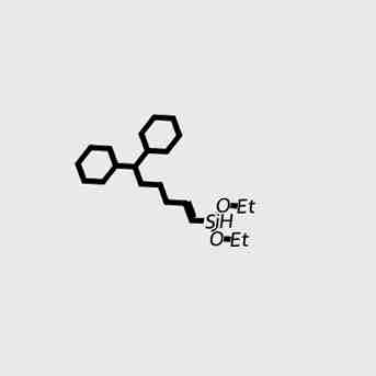 CCO[SiH](C=CCCCC(C1CCCCC1)C1CCCCC1)OCC